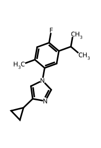 Cc1cc(F)c(C(C)C)cc1-n1cnc(C2CC2)c1